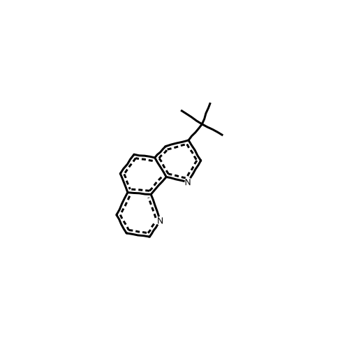 CC(C)(C)c1cnc2c(ccc3cccnc32)c1